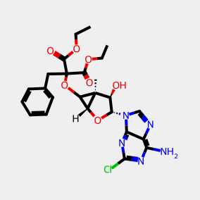 CCOC(=O)C(Cc1ccccc1)(OC1[C@H]2O[C@@H](n3cnc4c(N)nc(Cl)nc43)[C@H](O)[C@]12C)C(=O)OCC